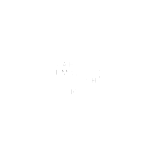 O[SiH3].[AlH3].[MgH2].[Y]